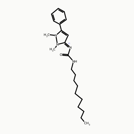 CCCCCCCCCCNC(=O)/N=c1/cc(-c2ccccc2)n(C)n1C